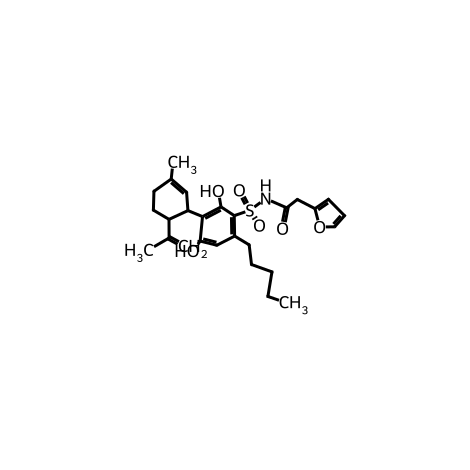 C=C(C)C1CCC(C)=CC1c1c(O)cc(CCCCC)c(S(=O)(=O)NC(=O)Cc2ccco2)c1O